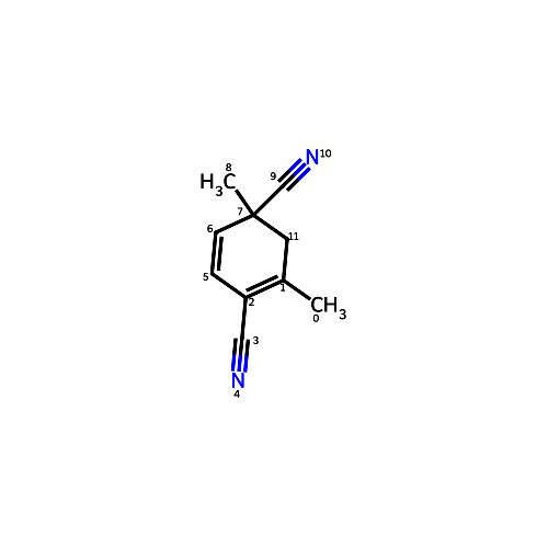 CC1=C(C#N)C=CC(C)(C#N)C1